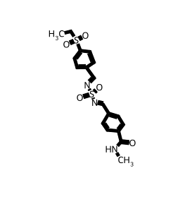 CCS(=O)(=O)c1ccc(C=NS(=O)(=O)N=Cc2ccc(C(=O)NC)cc2)cc1